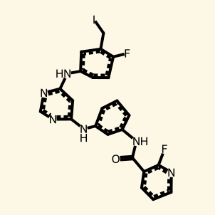 O=C(Nc1cccc(Nc2cc(Nc3ccc(F)c(CI)c3)ncn2)c1)c1cccnc1F